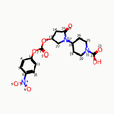 O=C(Oc1ccc([N+](=O)[O-])cc1)O[C@H]1CC(=O)N(C2CCN(C(=O)O)CC2)C1